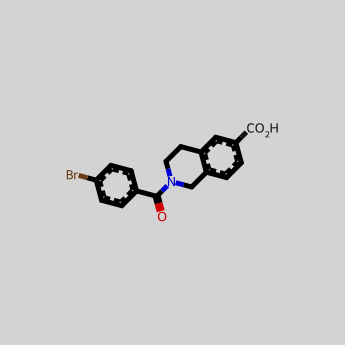 O=C(O)c1ccc2c(c1)CCN(C(=O)c1ccc(Br)cc1)C2